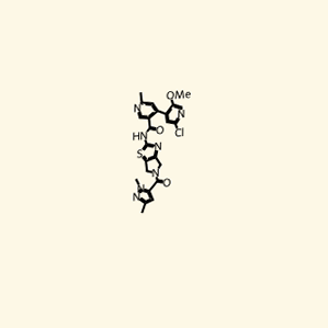 COc1cnc(Cl)cc1-c1cc(C)ncc1C(=O)Nc1nc2c(s1)CN(C(=O)c1cc(C)nn1C)C2